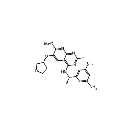 COc1nc2nc(C)nc(N[C@H](C)c3cc(N)cc(C(F)(F)F)c3)c2cc1O[C@H]1CCOC1